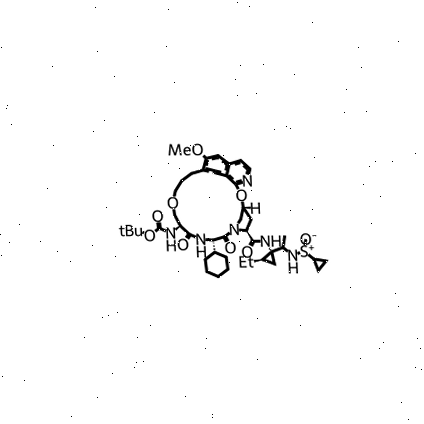 CC[C@@H]1C[C@]1(NC(=O)[C@@H]1C[C@@H]2CN1C(=O)[C@H](C1CCCCC1)NC(=O)[C@@H](NC(=O)OC(C)(C)C)COCCCc1cc3c(nccc3cc1OC)O2)C(C)N[S+]([O-])C1CC1